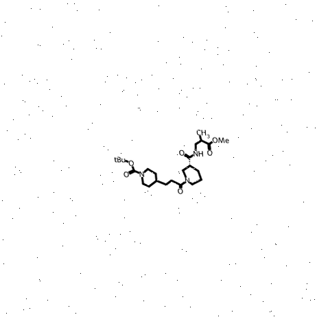 COC(=O)C(C)CNC(=O)[C@@H]1CCCN(C(=O)CCC2CCN(C(=O)OC(C)(C)C)CC2)C1